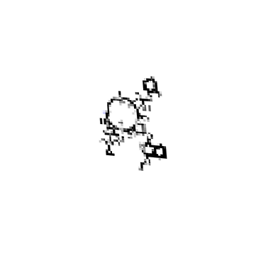 CCOc1cnc(O[C@@H]2C[C@H]3C(=O)N[C@]4(C(=O)N(C)S(=O)(=O)C5CC5)C[C@H]4/C=C/CC[C@@H](C)C[C@@H](C)[C@H](NC(=O)Oc4ccccc4F)C(=O)N3C2)c2ccccc12